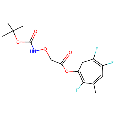 CC1=CC(F)=C(F)CC(OC(=O)CONC(=O)OC(C)(C)C)=C1F